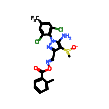 Cc1ccccc1C(=O)ON=Cc1nn(-c2c(Cl)cc(C(F)(F)F)cc2Cl)c(N)c1[S+](C)[O-]